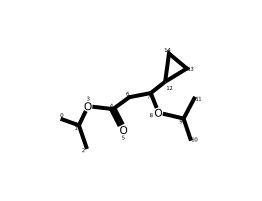 CC(C)OC(=O)CC(OC(C)C)C1CC1